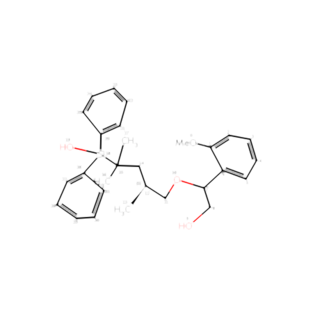 COc1ccccc1C(CO)OC[C@@H](C)CC(C)(C)[Si](O)(c1ccccc1)c1ccccc1